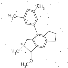 COC1c2cc3c(c(-c4cc(C)cc(C)c4)c2C[C@H]1C)CCC3